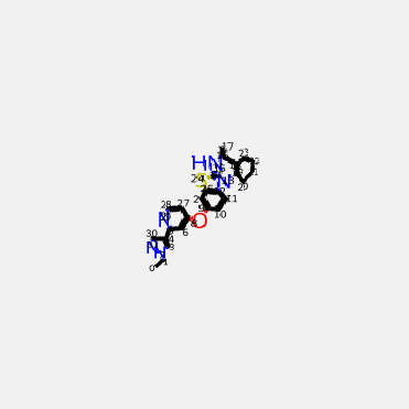 CCn1cc(-c2cc(Oc3ccc4nc(NC(C)C5CCCCC5)sc4c3)ccn2)cn1